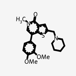 COc1ccc(-c2cn(C)c(=O)c3cc(CN4CCCCC4)sc23)cc1OC